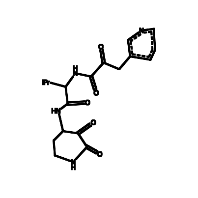 CC(C)C(NC(=O)C(=O)Cc1cccnc1)C(=O)NC1CCNC(=O)C1=O